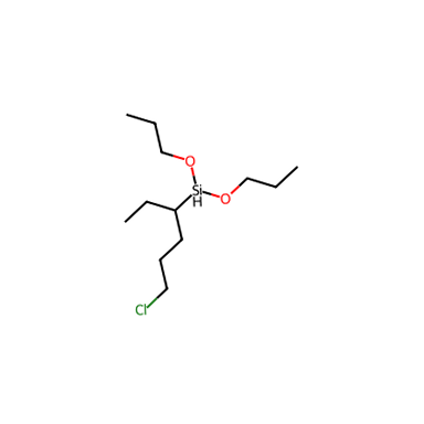 CCCO[SiH](OCCC)C(CC)CCCCl